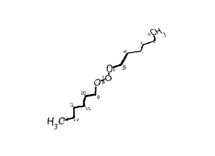 CCCCCCOOOCCCCCC